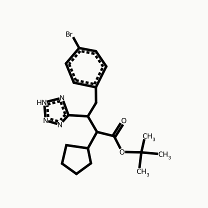 CC(C)(C)OC(=O)C(C1CCCC1)C(Cc1ccc(Br)cc1)c1nn[nH]n1